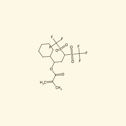 C=C(C)C(=O)OC(CC(S(=O)(=O)C(F)(F)F)S(=O)(=O)C(F)(F)F)C1CCCCC1